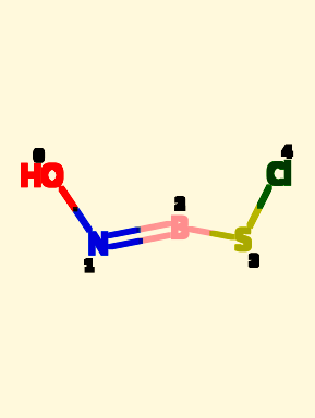 ON=BSCl